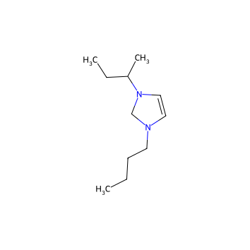 CCCCN1C=CN(C(C)CC)C1